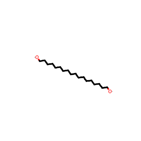 [O]CCCCCCCCCCCCCCCCCC[O]